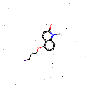 Cn1c(=O)ccc2c(OCCCI)cccc21